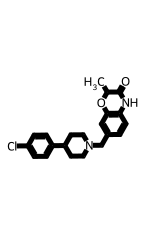 CC1Oc2cc(CN3CCC(c4ccc(Cl)cc4)CC3)ccc2NC1=O